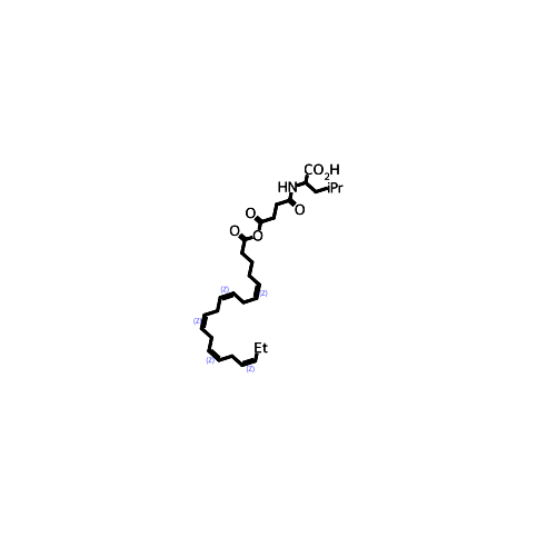 CC/C=C\C/C=C\C/C=C\C/C=C\C/C=C\CCCC(=O)OC(=O)CCC(=O)NC(CC(C)C)C(=O)O